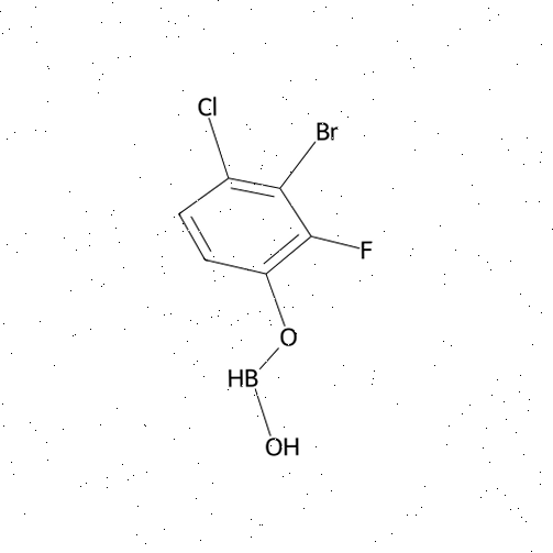 OBOc1ccc(Cl)c(Br)c1F